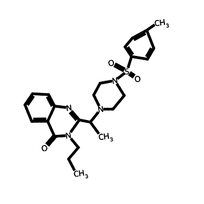 CCCn1c(C(C)N2CCN(S(=O)(=O)c3ccc(C)cc3)CC2)nc2ccccc2c1=O